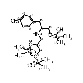 CC(C)(C)[Si](C)(C)OCC(CNC(CO[Si](C)(C)C)Cc1ccc(Cl)cc1)O[Si](C)(C)C